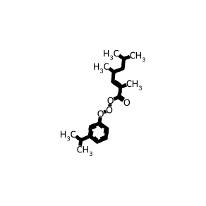 CC(=CC(C)CC(C)C)C(=O)OOOc1cccc(C(C)C)c1